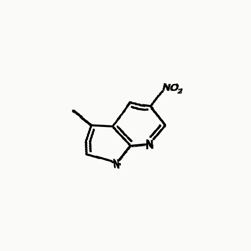 CC1=C[N]c2ncc([N+](=O)[O-])cc21